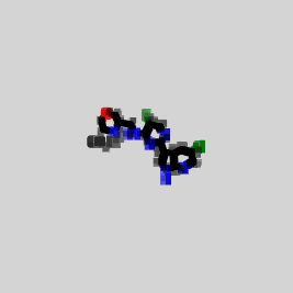 CCOC(=O)N1CCOCC1CNc1nc(-c2c[nH]c3ncc(Cl)cc23)ncc1F